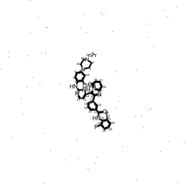 CCCN1CCN(c2ccc(NC3N=CC=C(c4c(-c5cccc(C(=O)Nc6c(F)cccc6F)c5)nc5ccccn45)N3)c(OC)c2)CC1